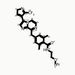 CCCOCCNC(=O)c1c(C)cc(Cc2nccn3c(C4=CCN=C4C(F)(F)F)cnc23)cc1C